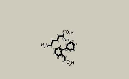 NCCCCC(N)C(=O)O.O=C(O)Cc1ccccc1-c1ccccc1